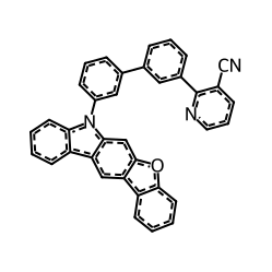 N#Cc1cccnc1-c1cccc(-c2cccc(-n3c4ccccc4c4cc5c(cc43)oc3ccccc35)c2)c1